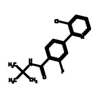 CC(C)(C)NC(=O)c1ccc(-c2ncccc2Cl)cc1F